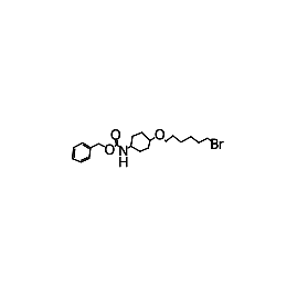 O=C(NC1CCC(OCCCCCCBr)CC1)OCc1ccccc1